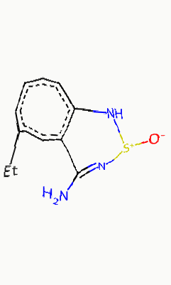 CCc1cccc2c1C(N)=N[S+]([O-])N2